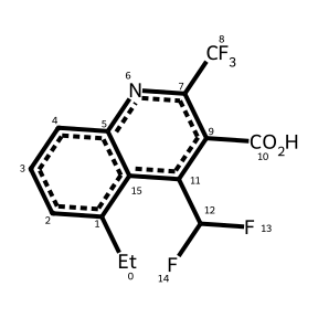 CCc1cccc2nc(C(F)(F)F)c(C(=O)O)c(C(F)F)c12